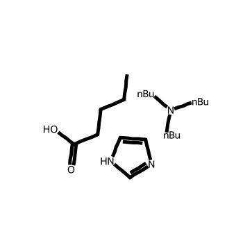 CCCCC(=O)O.CCCCN(CCCC)CCCC.c1c[nH]cn1